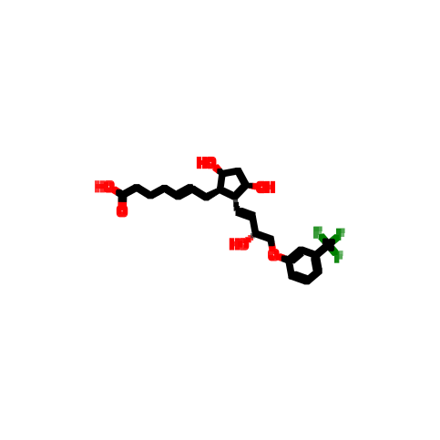 O=C(O)CCCC=CC[C@@H]1[C@@H](C=C[C@@H](O)COc2cccc(C(F)(F)F)c2)[C@H](O)C[C@@H]1O